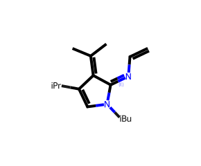 C=C/N=C1\C(=C(C)C)C(C(C)C)=CN1C(C)CC